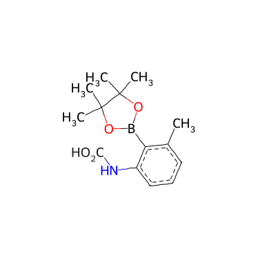 Cc1cccc(NC(=O)O)c1B1OC(C)(C)C(C)(C)O1